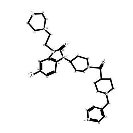 O=C(C1CCN(Cc2ccncc2)CC1)N1CCC(n2c(=O)n(CCN3CCOCC3)c3cc(C(F)(F)F)ccc32)CC1